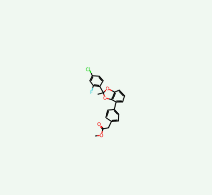 COC(=O)Cc1ccc(-c2cccc3c2OC(C)(c2ccc(Cl)cc2F)O3)cc1